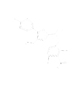 C=CCc1oc(C(C)Oc2ccc(F)c(C(N)=O)c2F)nc1-c1ccc(Cl)cc1